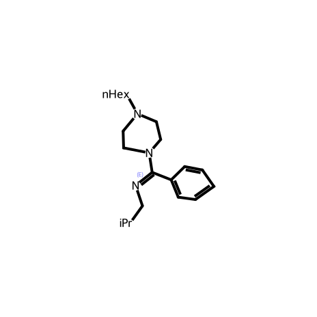 CCCCCCN1CCN(/C(=N/CC(C)C)c2ccccc2)CC1